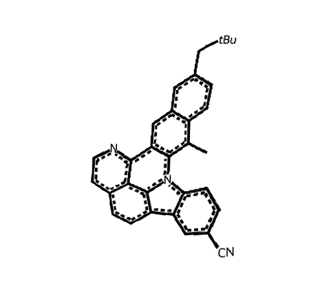 Cc1c2ccc(CC(C)(C)C)cc2cc2c3nccc4ccc5c6cc(C#N)ccc6n(c12)c5c43